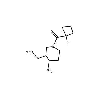 COCC1CN(C(=O)C2(F)CCC2)CCC1N